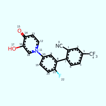 N#Cc1cc(C(F)(F)F)ccc1-c1cc(-n2ccc(=O)c(O)c2)ccc1F